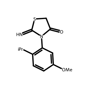 COc1ccc(C(C)C)c(N2C(=N)SCC2=O)c1